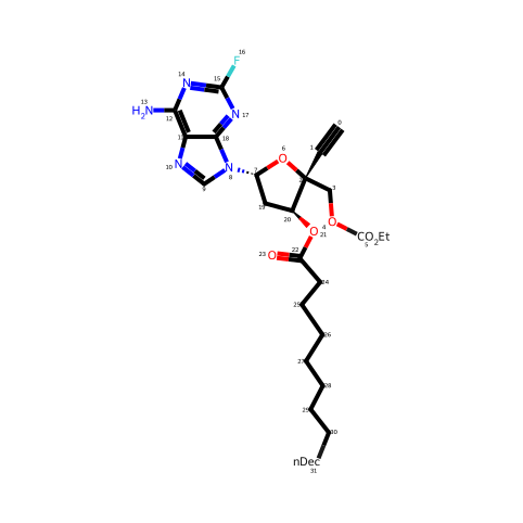 C#C[C@]1(COC(=O)OCC)O[C@@H](n2cnc3c(N)nc(F)nc32)C[C@@H]1OC(=O)CCCCCCCCCCCCCCCCC